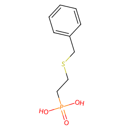 O=P(O)(O)CCSCc1ccccc1